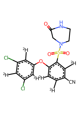 [2H]c1c(Cl)c([2H])c(Oc2c([2H])c([2H])c(C#N)c([2H])c2S(=O)(=O)N2CCNC(=O)C2)c([2H])c1Cl